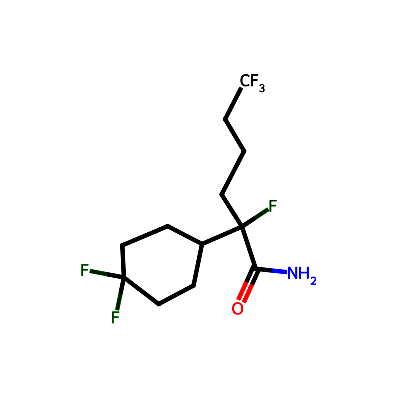 NC(=O)C(F)(CCCC(F)(F)F)C1CCC(F)(F)CC1